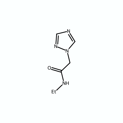 CCNC(=O)Cn1cncn1